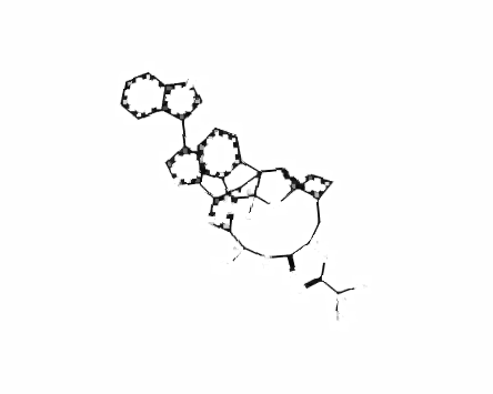 CC(C)[C@H](O)C(=O)N[C@H]1Cc2ccc3c(c2)C2(c4ccccc4N[C@H]2O3)c2oc(nc2-c2ncc(-c3c[nH]c4ccccc34)o2)[C@H](C(C)C)NC1=O